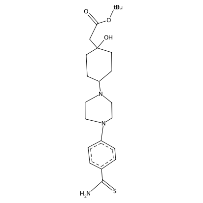 CC(C)(C)OC(=O)CC1(O)CCC(N2CCN(c3ccc(C(N)=S)cc3)CC2)CC1